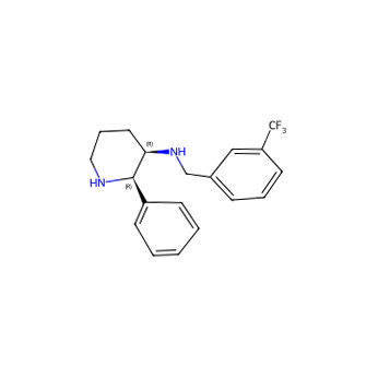 FC(F)(F)c1cccc(CN[C@@H]2CCCN[C@@H]2c2ccccc2)c1